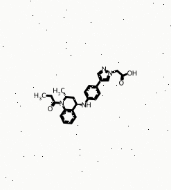 CCC(=O)N1c2ccccc2[C@H](Nc2ccc(-c3cnn(CC(=O)O)c3)cc2)C[C@@H]1C